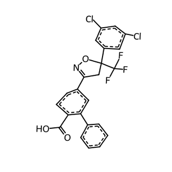 O=C(O)c1ccc(C2=NOC(c3cc(Cl)cc(Cl)c3)(C(F)(F)F)C2)cc1-c1ccccc1